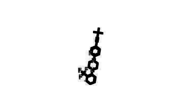 CC(C)(C)C#Cc1ccc(N2CCN(C3=C(C(F)(F)F)[CH]CC=C3)CC2)nc1